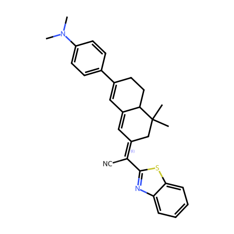 CN(C)c1ccc(C2=CC3=C/C(=C(\C#N)c4nc5ccccc5s4)CC(C)(C)C3CC2)cc1